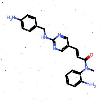 CN(C(=O)/C=C/c1cnc(NCc2ccc(N)cc2)nc1)c1ccccc1N